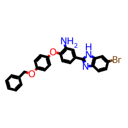 Nc1cc(-c2nc3ccc(Br)cc3[nH]2)ccc1Oc1ccc(OCc2ccccc2)cc1